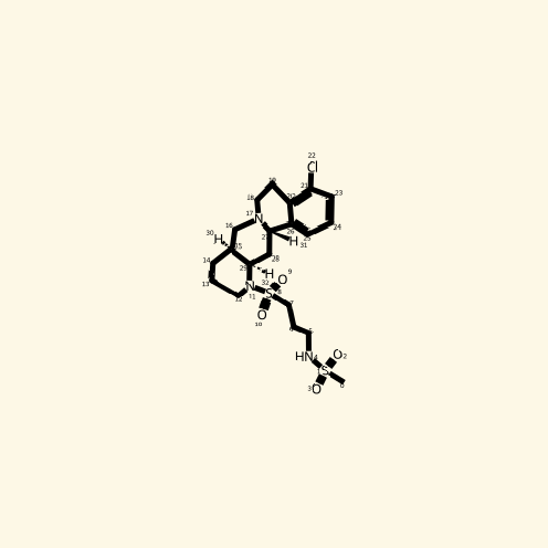 CS(=O)(=O)NCCCS(=O)(=O)N1CCC[C@H]2CN3CCc4c(Cl)cccc4[C@@H]3C[C@H]21